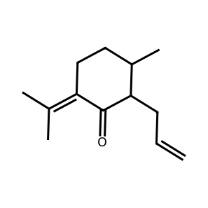 C=CCC1C(=O)C(=C(C)C)CCC1C